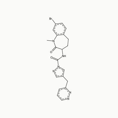 CN1C(=O)C(NC(=O)n2cc(Cc3cccnn3)cn2)CCc2ccc(Br)cc21